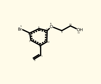 C=[C]c1cc(Br)cc(OCCO)c1